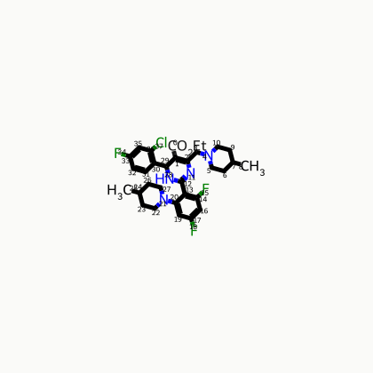 CCOC(=O)C1=C(CN2CCC(C)CC2)N=C(c2c(F)cc(F)cc2N2CCC(C)CC2)NC1c1ccc(F)cc1Cl